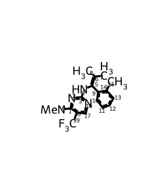 CNc1nc(NC(=C(C)C)c2ccccc2C)ncc1C(F)(F)F